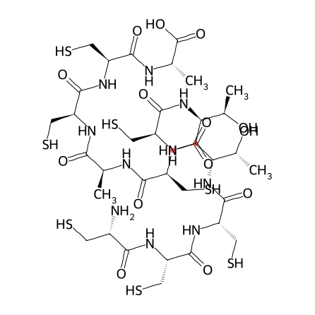 C[C@H](NC(=O)[C@H](CS)NC(=O)[C@H](CS)NC(=O)[C@H](C)NC(=O)[C@H](CS)NC(=O)[C@@H](NC(=O)[C@H](CS)NC(=O)[C@@H](NC(=O)[C@H](CS)NC(=O)[C@H](CS)NC(=O)[C@@H](N)CS)[C@@H](C)O)[C@@H](C)O)C(=O)O